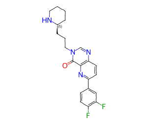 O=c1c2nc(-c3ccc(F)c(F)c3)ccc2ncn1CCC[C@@H]1CCCCN1